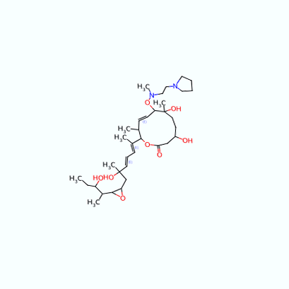 CCC(O)C(C)C1OC1CC(C)(O)/C=C/C=C(\C)C1OC(=O)CC(O)CCC(C)(O)C(ON(C)CCN2CCCC2)/C=C/C1C